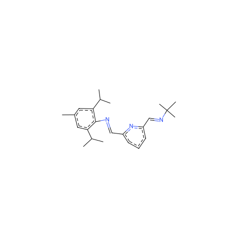 Cc1cc(C(C)C)c(/N=C/c2cccc(/C=N/C(C)(C)C)n2)c(C(C)C)c1